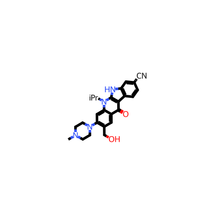 CC(C)n1c2cc(N3CCN(C)CC3)c(CO)cc2c(=O)c2c3ccc(C#N)cc3[nH]c21